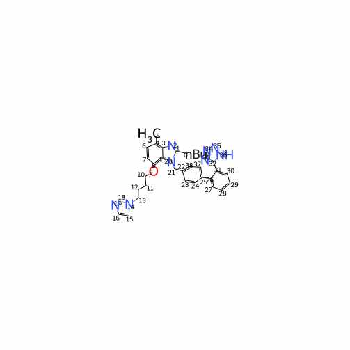 CCCCc1nc2c(C)ccc(OCCCCn3ccnc3)c2n1Cc1ccc(-c2ccccc2-c2nnn[nH]2)cc1